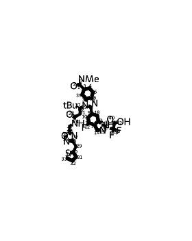 CNC(=O)c1ccc2nc(-c3cc(F)c4cn[nH]c4c3)n([C@@H](CC(=O)NCc3nc(Cc4cccs4)no3)C(C)(C)C)c2c1.O=C(O)C(F)(F)F